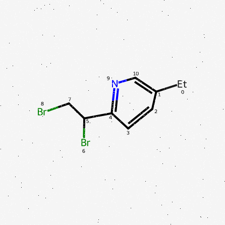 CCc1ccc(C(Br)CBr)nc1